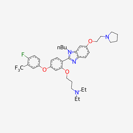 CCCCn1c(-c2ccc(Oc3ccc(F)c(C(F)(F)F)c3)cc2OCCCN(CC)CC)nc2ccc(OCCN3CCCC3)cc21